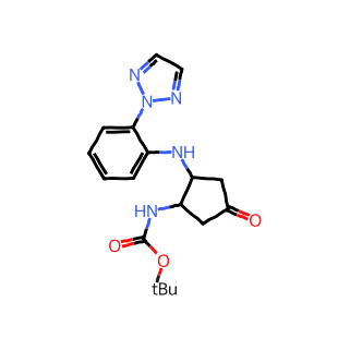 CC(C)(C)OC(=O)NC1CC(=O)CC1Nc1ccccc1-n1nccn1